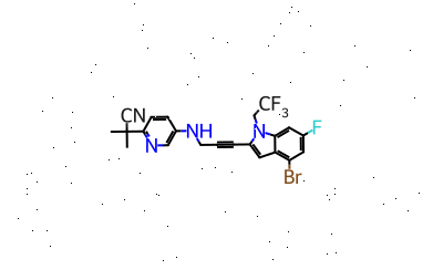 CC(C)(C#N)c1ccc(NCC#Cc2cc3c(Br)cc(F)cc3n2CC(F)(F)F)cn1